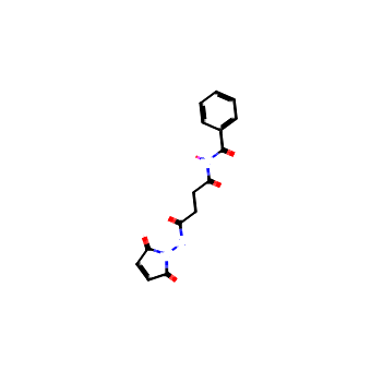 O=C(CCC(=O)N(O)C(=O)c1ccccc1)NN1C(=O)C=CC1=O